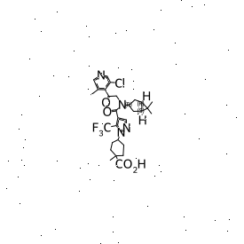 Cc1cncc(Cl)c1C(=O)CN(C(=O)c1cnn(C2CCC(C)(C(=O)O)CC2)c1C(F)(F)F)[C@H]1C[C@@H]2[C@H](C1)C2(C)C